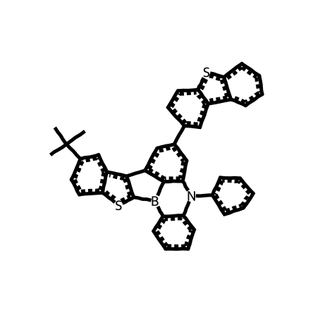 CC(C)(C)c1ccc2sc3c(c2c1)-c1cc(-c2ccc4sc5ccccc5c4c2)cc2c1B3c1ccccc1N2c1ccccc1